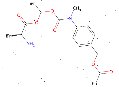 CC(C)C(OC(=O)[C@@H](N)C(C)C)OC(=O)N(C)c1ccc(COC(=O)C(C)(C)C)cc1